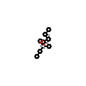 c1ccc(-c2ccc(-c3nc(-c4ccccc4)nc(-c4ccccc4-n4c5ccccc5c5c6c(ccc54)oc4c(-c5ccccc5)cccc46)n3)cc2)cc1